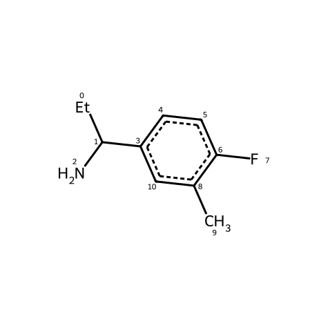 CCC(N)c1ccc(F)c(C)c1